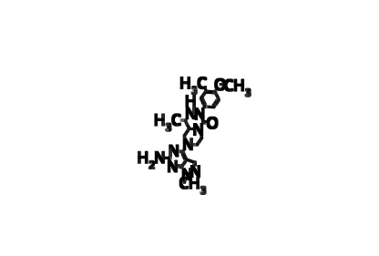 COc1ccc(N2NC(C)C3CN(c4nc(N)nc5c4cnn5C)CCN3C2=O)cc1C